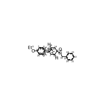 CCOc1ccc(N2C[C@@H]3CC(C)(C)[C@H]2C[C@]32ON2Cc2ccccc2)cc1